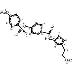 COc1cnc(S(=O)(=O)Oc2ccc(C(=O)Nc3ncc(CCOC(C)=O)s3)cc2)nc1